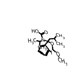 COCOC(CC(C)C)(c1ccccc1I)N(C(=O)O)C(C)C